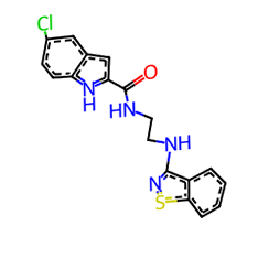 O=C(NCCNc1nsc2ccccc12)c1cc2cc(Cl)ccc2[nH]1